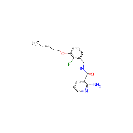 CC=CCCOc1cccc(CNC(=O)c2cccnc2N)c1F